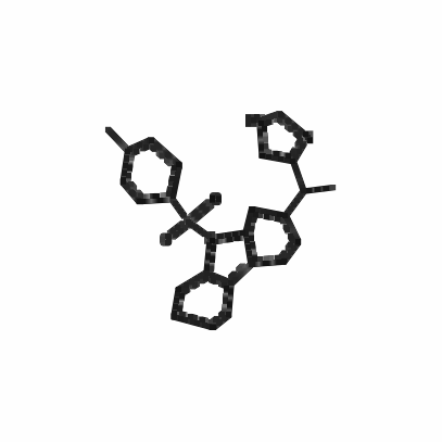 Cc1ccc(S(=O)(=O)n2c3ccccc3c3ccc(C(C)c4c[nH]cn4)cc32)cc1